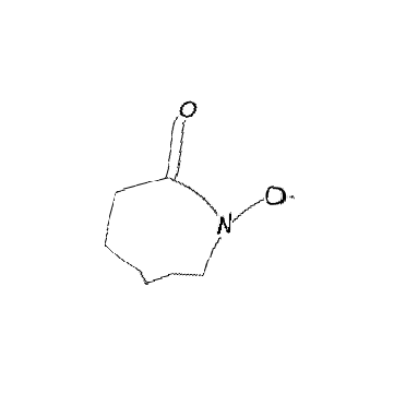 [O]N1CCCCC1=O